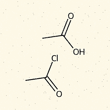 CC(=O)Cl.CC(=O)O